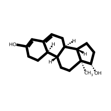 C[C@]12CC[C@H]3[C@@H](CC=C4C=C(O)CC[C@@H]43)[C@@H]1CC[C@@H]2O